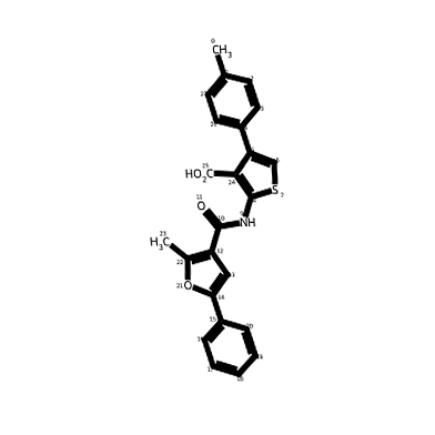 Cc1ccc(-c2csc(NC(=O)c3cc(-c4ccccc4)oc3C)c2C(=O)O)cc1